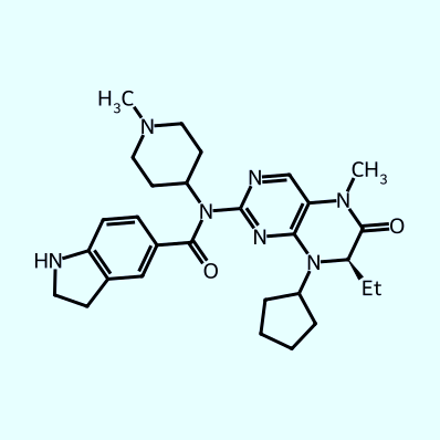 CC[C@@H]1C(=O)N(C)c2cnc(N(C(=O)c3ccc4c(c3)CCN4)C3CCN(C)CC3)nc2N1C1CCCC1